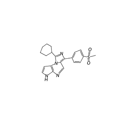 CS(=O)(=O)c1ccc(-c2nc(C3CCCCC3)n3c2cnc2[nH]ccc23)cc1